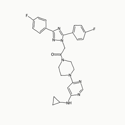 O=C(Cn1nc(-c2ccc(F)cc2)nc1-c1ccc(F)cc1)N1CCN(c2cc(NC3CC3)ncn2)CC1